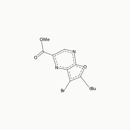 COC(=O)c1cnc2oc(C(C)(C)C)c(Br)c2n1